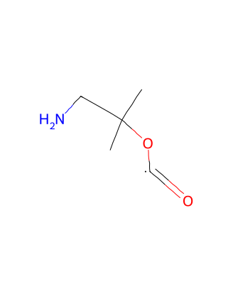 CC(C)(CN)O[C]=O